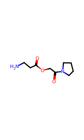 NCCC(=O)OCC(=O)N1CCCC1